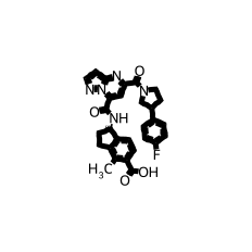 Cc1c(C(=O)O)ccc2c1CC[C@@H]2NC(=O)c1cc(C(=O)N2CCC(c3ccc(F)cc3)C2)nc2ccnn12